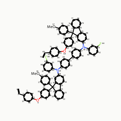 C=Cc1ccc(Oc2ccc(C3(c4ccc(OC)cc4)c4ccccc4-c4ccc(N(c5ccc(-c6ccc(N(c7cccc(F)c7)c7ccc8c(c7)C(c7ccc(OC)cc7)(c7ccc(Oc9ccc(C=C)cc9)cc7)c7ccccc7-8)cc6)cc5)c5cccc(F)c5)cc43)cc2)cc1